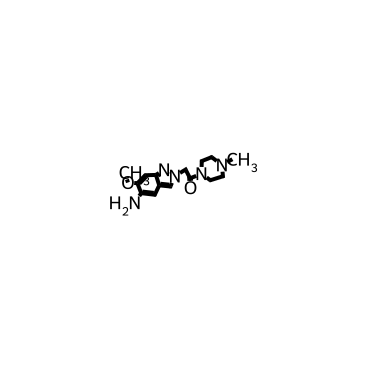 COc1cc2nn(CC(=O)N3CCN(C)CC3)cc2cc1N